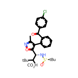 Cc1noc([C@H](N[S@+]([O-])C(C)(C)C)C(C(=O)O)C(C)(C)C)c1-c1ccccc1C(=O)c1ccc(Cl)cc1